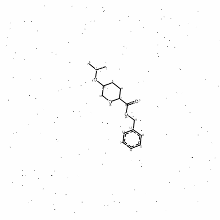 CC(C)OC1CCC(C(=O)OCc2ccccc2)OC1